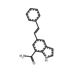 NC(=O)c1cc(C=Cc2ccccc2)cc2cc[nH]c12